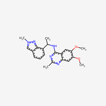 COc1cc2nc(C)nc(NC(C)c3cccc4cn(C)nc34)c2cc1OC